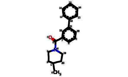 CC1CCN(C(=O)c2cccc(-c3ccccc3)c2)CC1